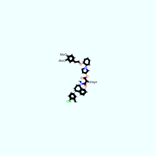 CCCCCCCC(C(=O)O[C@@H]1CCN([C@@H]2CCCC[C@H]2OCCc2ccc(OC)c(OC)c2)C1)C(=O)N(C)[C@H]1CC[C@@H](c2ccc(Cl)c(C)c2)c2ccccc21